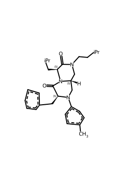 Cc1ccc(N2C[C@H]3CN(CCC(C)C)C(=O)[C@H](CC(C)C)N3C(=O)[C@@H]2Cc2ccccc2)cc1